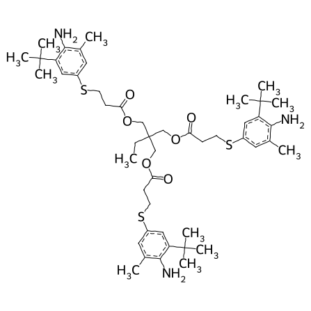 CCC(COC(=O)CCSc1cc(C)c(N)c(C(C)(C)C)c1)(COC(=O)CCSc1cc(C)c(N)c(C(C)(C)C)c1)COC(=O)CCSc1cc(C)c(N)c(C(C)(C)C)c1